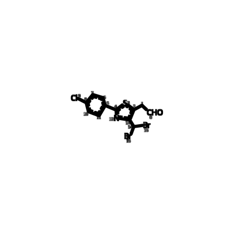 O=CCc1sc(-c2ccc(Cl)cc2)nc1C(Br)Br